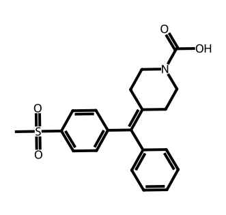 CS(=O)(=O)c1ccc(C(=C2CCN(C(=O)O)CC2)c2ccccc2)cc1